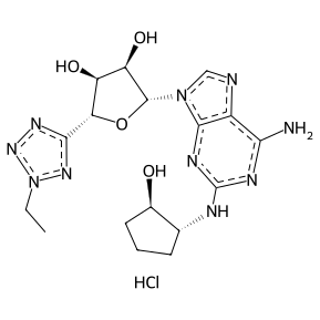 CCn1nnc([C@H]2O[C@@H](n3cnc4c(N)nc(N[C@@H]5CCC[C@H]5O)nc43)[C@H](O)[C@@H]2O)n1.Cl